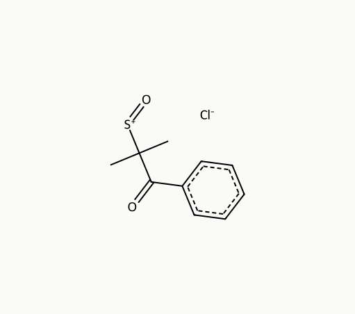 CC(C)([S+]=O)C(=O)c1ccccc1.[Cl-]